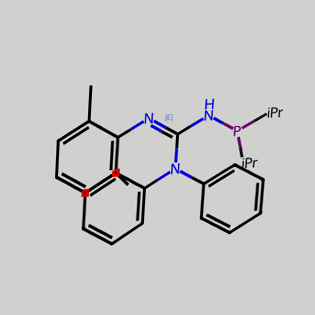 Cc1cccc(C)c1/N=C(/NP(C(C)C)C(C)C)N(c1ccccc1)c1ccccc1